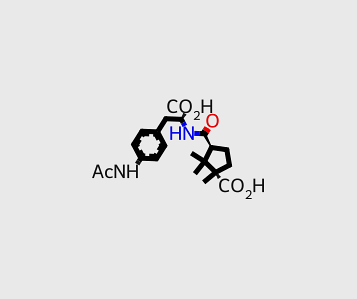 CC(=O)Nc1ccc(C[C@H](NC(=O)[C@H]2CC[C@@](C)(C(=O)O)C2(C)C)C(=O)O)cc1